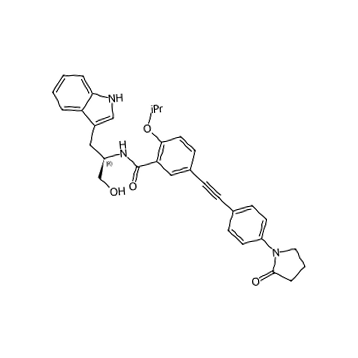 CC(C)Oc1ccc(C#Cc2ccc(N3CCCC3=O)cc2)cc1C(=O)N[C@@H](CO)Cc1c[nH]c2ccccc12